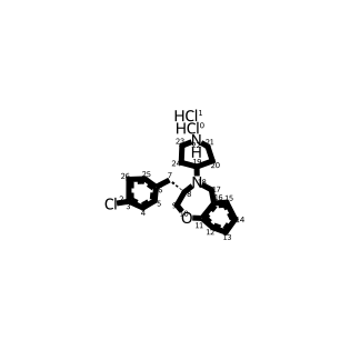 Cl.Cl.Clc1ccc(C[C@H]2COc3ccccc3CN2C2CCNCC2)cc1